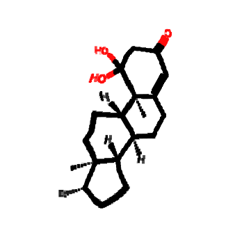 CC[C@H]1CC[C@H]2[C@@H]3CCC4=CC(=O)CC(O)(O)[C@]4(C)[C@H]3CC[C@]12C